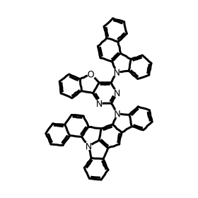 c1ccc2c(c1)ccc1c2c2ccccc2n1-c1nc(-n2c3ccccc3c3cc4c5ccccc5n5c6c7ccccc7ccc6c(c32)c45)nc2c1oc1ccccc12